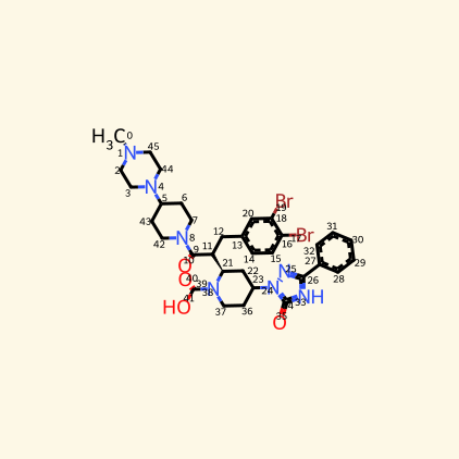 CN1CCN(C2CCN(C(=O)C(Cc3ccc(Br)c(Br)c3)[C@H]3CC(n4nc(-c5ccccc5)[nH]c4=O)CCN3C(=O)O)CC2)CC1